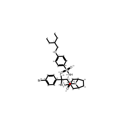 CCC(CC)COc1ccc(S(=O)(=O)N[C@H](C(=O)N2C3CCC2CC(N)C3)C(F)(F)c2ccc(Br)cc2)cc1